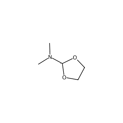 CN(C)[C]1OCCO1